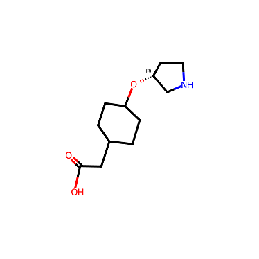 O=C(O)CC1CCC(O[C@@H]2CCNC2)CC1